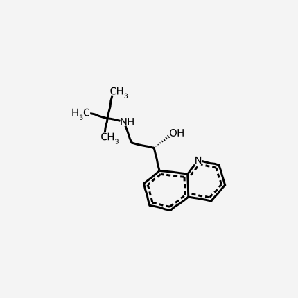 CC(C)(C)NC[C@H](O)c1cccc2cccnc12